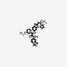 C[C@H]1CC[C@H](c2ccc3sc(C[C@@H](C)N4CCCC4)nc3c2)N(C(=O)C(=O)Nc2ccn3ccnc3c2)C1